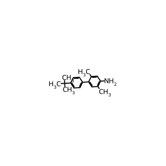 Cc1cc(-c2ccc(C(C)(C)C)cc2)c(C)cc1N